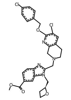 COC(=O)c1ccc2nc(CN3CCc4cc(Cl)c(OCc5ccc(Cl)cc5)nc4C3)n(C[C@@H]3CCO3)c2c1